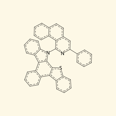 c1ccc(-c2cc3ccc4ccccc4c3c(-n3c4ccccc4c4c5ccccc5c5c6ccccc6sc5c43)n2)cc1